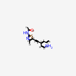 C=C/C=C(C#Cc1sc(NC(C)=O)nc1C)\C=C/N